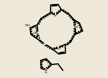 C1=Cc2cc3ccc(cc4nc(cc5ccc(cc1n2)[nH]5)C=C4)[nH]3.CCc1ccc[nH]1.[Mn]